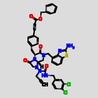 C#CCN(C(=O)NCc1ccc(Cl)c(Cl)c1)N1CC(=O)N2[C@@H](Cc3ccc(C#CC(=O)OCc4ccccc4)cc3)C(=O)N(Cc3cccc4sc(N)nc34)C[C@@H]21